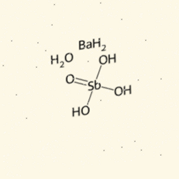 O.[BaH2].[O]=[Sb]([OH])([OH])[OH]